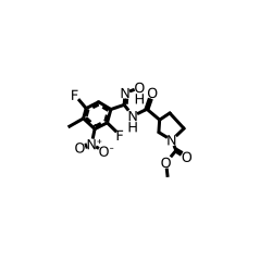 COC(=O)N1CCC(C(=O)NC(=NO)c2cc(F)c(C)c([N+](=O)[O-])c2F)C1